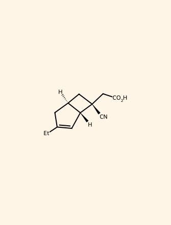 CCC1=C[C@@H]2[C@@H](C1)C[C@]2(C#N)CC(=O)O